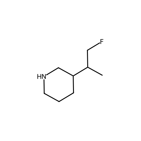 CC(CF)C1CCCNC1